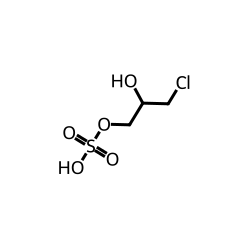 O=S(=O)(O)OCC(O)CCl